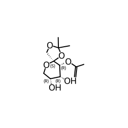 C=C(C)O[C@@H]1[C@H](O)[C@H](O)CO[C@]12COC(C)(C)O2